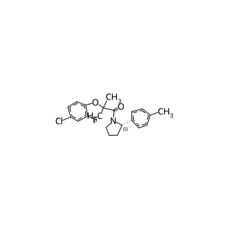 Cc1ccc([C@@H]2CCCN2C(=O)C(C)(C)Oc2ccc(Cl)cc2F)cc1